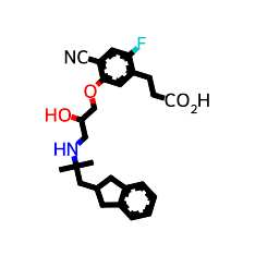 CC(C)(CC1Cc2ccccc2C1)NCC(O)COc1cc(CCC(=O)O)c(F)cc1C#N